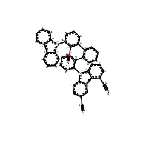 N#Cc1ccc2c(c1)c1c(C#N)cccc1n2-c1ccccc1-c1ccccc1-c1cccc(-n2c3ccccc3c3ccccc32)c1C#N